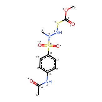 COC(=O)SNN(C)S(=O)(=O)c1ccc(NC(C)=O)cc1